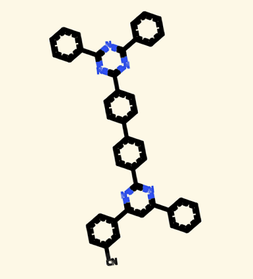 N#Cc1cccc(-c2cc(-c3ccccc3)nc(-c3ccc(-c4ccc(-c5nc(-c6ccccc6)nc(-c6ccccc6)n5)cc4)cc3)n2)c1